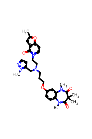 CCN1C(=O)C(C)(C)C(=O)N(C)c2cc(OCCCN(CCn3ccc4oc(C)cc4c3=O)Cc3ccnn3C)ccc21